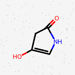 O=C1CC(O)=CN1